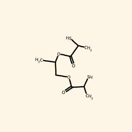 CC(COC(=O)C(C)S)OC(=O)C(C)S